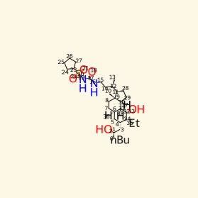 CCCC[C@@H](O)C[C@@H]1C[C@H]2CC[C@]3(C)[C@@H]([C@H](C)CCNC(=O)NS(=O)(=O)C4CCCC4)CC[C@H]3[C@@H]2[C@H](O)[C@@H]1CC